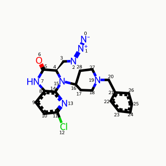 [N-]=[N+]=NC[C@@H]1C(=O)Nc2ccc(Cl)nc2N1C1CCN(Cc2ccccc2)CC1